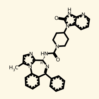 Cc1cnc2n1-c1ccccc1C(c1ccccc1)=N[C@H]2NC(=O)N1CCC(n2c(=O)[nH]c3ncccc32)CC1